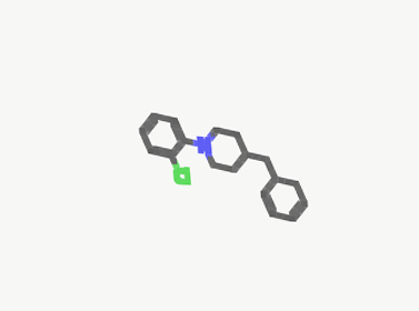 Clc1ccccc1N1CCC(CC2C=CC=CC2)CC1